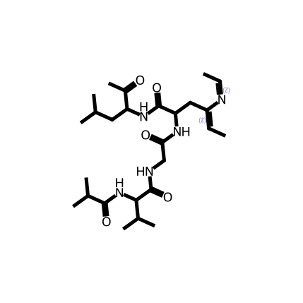 C/C=N\C(=C/C)CC(NC(=O)CNC(=O)C(NC(=O)C(C)C)C(C)C)C(=O)NC(CC(C)C)C(C)=O